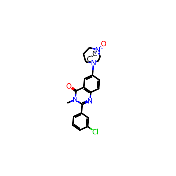 Cn1c(-c2cccc(Cl)c2)nc2ccc(N3CC[N+]4([O-])CCC3CC4)cc2c1=O